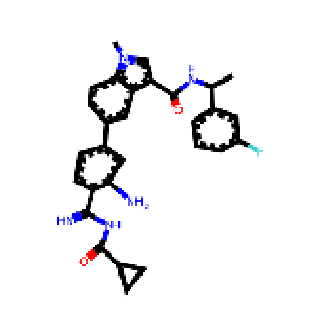 CC(NC(=O)c1cn(C)c2ccc(-c3ccc(C(=N)NC(=O)C4CC4)c(N)c3)cc12)c1cccc(F)c1